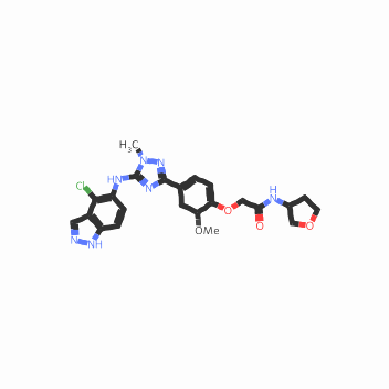 COC1CC(c2nc(Nc3ccc4[nH]ncc4c3Cl)n(C)n2)=CC=C1OCC(=O)NC1CCOC1